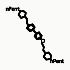 CCCCCC1CCC(CCCOc2ccc(-c3ccc(CCC4CCC(CCCCC)CC4)cc3)cc2)CC1